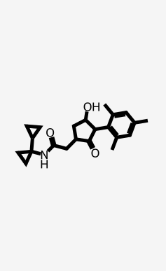 Cc1cc(C)c(C2C(=O)C(CC(=O)NC3(C4CC4)CC3)CC2O)c(C)c1